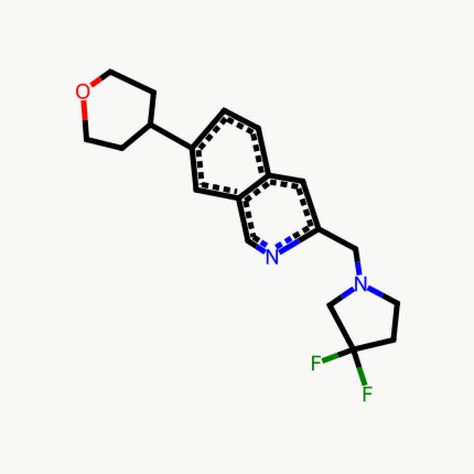 FC1(F)CCN(Cc2cc3ccc(C4CCOCC4)cc3cn2)C1